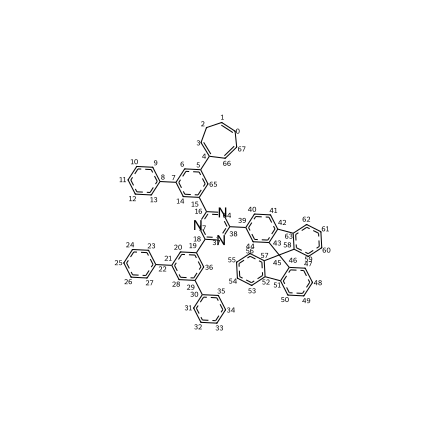 C1=CCC=C(c2cc(-c3ccccc3)cc(-c3nc(-c4cc(-c5ccccc5)cc(-c5ccccc5)c4)nc(-c4ccc5c(c4)C4(c6ccccc6-c6ccccc64)c4ccccc4-5)n3)c2)C=C1